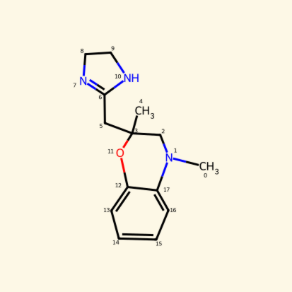 CN1CC(C)(CC2=NCCN2)Oc2ccccc21